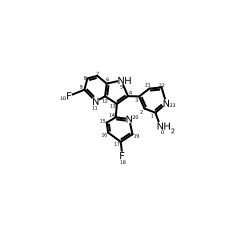 Nc1cc(-c2[nH]c3ccc(F)nc3c2-c2ccc(F)cn2)ccn1